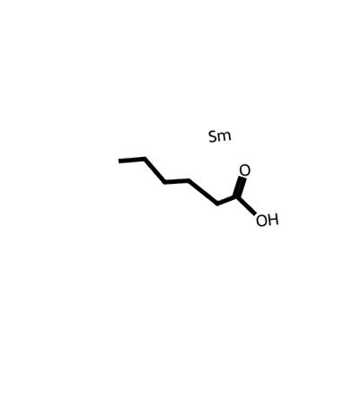 CCCCCC(=O)O.[Sm]